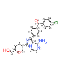 Nc1nccn2c(C3CCC(CO)OC3)nc(-c3ccc(C(=O)c4ccc(Cl)cc4)cc3)c12